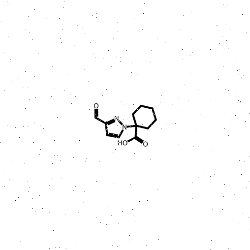 O=Cc1ccn(C2(C(=O)O)CCCCC2)n1